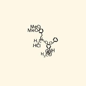 COc1ccc(CCN(C)CCOc2ccc(NS(C)(=O)=O)cc2OCc2ccccc2)cc1OC.Cl